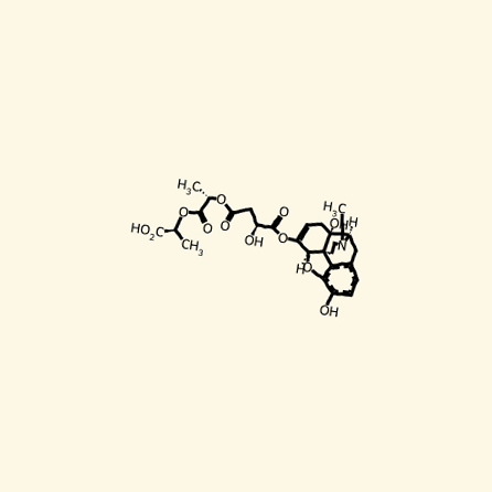 C[C@H](OC(=O)[C@H](C)OC(=O)C[C@H](O)C(=O)OC1=CC[C@@]2(O)[C@H]3Cc4ccc(O)c5c4[C@@]2(CCN3C)[C@H]1O5)C(=O)O